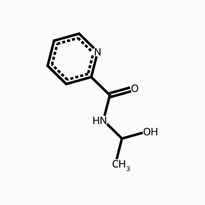 CC(O)NC(=O)c1ccccn1